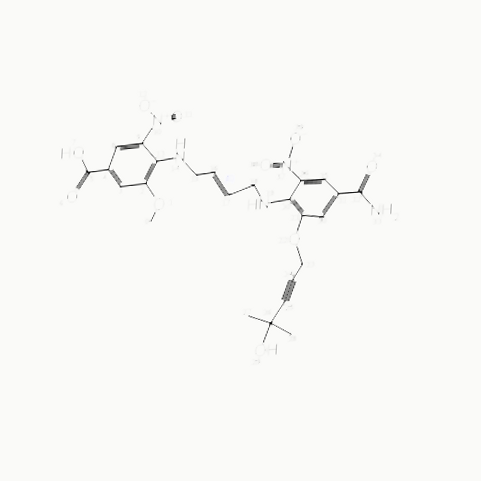 COc1cc(C(=O)O)cc([N+](=O)[O-])c1NC/C=C/CNc1c(OCC#CC(C)(C)O)cc(C(N)=O)cc1[N+](=O)[O-]